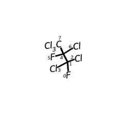 FC(Cl)(Cl)C(F)(Cl)C(Cl)(Cl)Cl